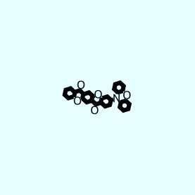 O=c1c2ccccc2oc2cc3c(=O)c4ccc(N5c6ccccc6Oc6ccccc65)cc4oc3cc12